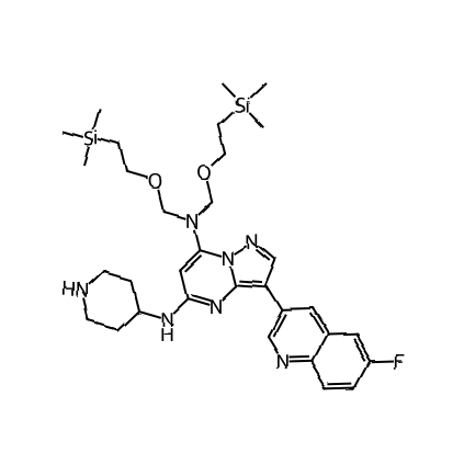 C[Si](C)(C)CCOCN(COCC[Si](C)(C)C)c1cc(NC2CCNCC2)nc2c(-c3cnc4ccc(F)cc4c3)cnn12